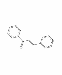 O=C(C=Cc1ccncc1)c1ccccc1